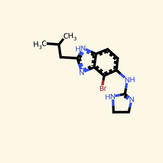 CC(C)Cc1nc2c(Br)c(NC3=NCCN3)ccc2[nH]1